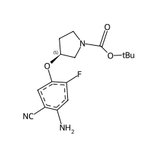 CC(C)(C)OC(=O)N1CC[C@H](Oc2cc(C#N)c(N)cc2F)C1